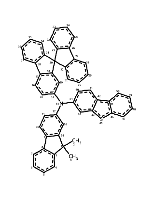 CC1(C)c2ccccc2-c2ccc(N(c3ccc4c(c3)C3(c5ccccc5-c5ccccc53)c3ccccc3-4)c3ccc4c(c3)sc3ccccc34)cc21